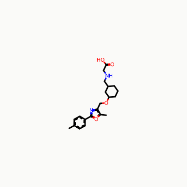 Cc1ccc(-c2nc(COC3CCCC(CNCC(=O)O)C3)c(C)o2)cc1